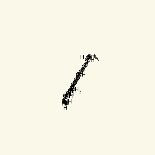 CC(C)(C)OC(=O)NCCOCCOCCOCCOCCOCCNC(=O)CCOCCOCCOCCOCCOC/C(=C/NCCOCCNC(=O)CCCC[C@@H]1SC[C@H]2NC(=O)NC12)NN